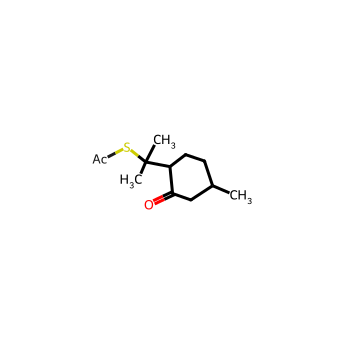 CC(=O)SC(C)(C)C1CCC(C)CC1=O